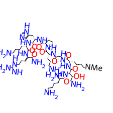 CNCCCC[C@H](NC(=O)[C@@H](NC(=O)[C@@H](N)CCCCN)[C@@H](O)CN)C(=O)NCC(=O)N[C@H](CCCN)C(=O)N1CCC[C@H]1C(=O)N[C@@H](Cc1cnc[nH]1)C(=O)N[C@@H](CCCCN)C(=O)N/C(=C\CCNC(=N)N)C(N)=O